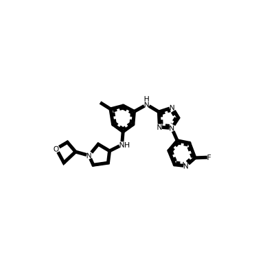 Cc1cc(Nc2ncn(-c3ccnc(F)c3)n2)cc(NC2CCN(C3COC3)C2)c1